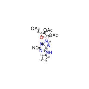 CC(=O)OC[C@@H]1O[C@@H](n2cnc3c(NC4CCCC4)nc(C#N)nc32)[C@H](OC(C)=O)[C@@H]1OC(C)=O